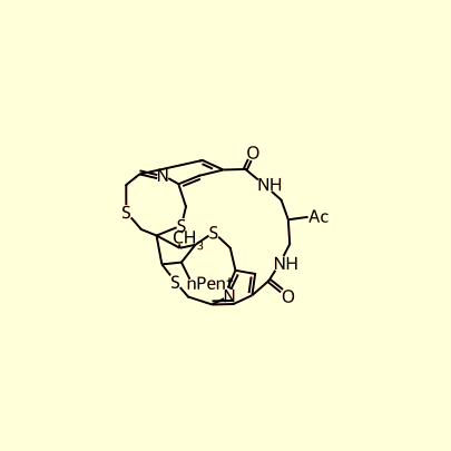 CCCCCC1C2SCc3cc4cc(n3)CSC1C1(CSCc3cc(cc(n3)CS1)C(=O)NCC(C(C)=O)CNC4=O)C2C